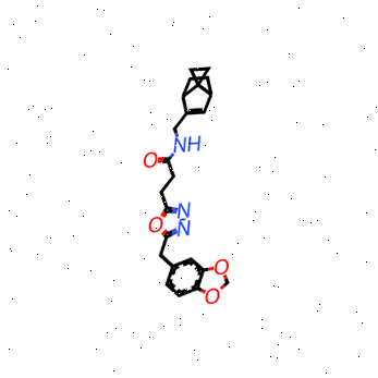 O=C(CCc1nnc(Cc2ccc3c(c2)OCO3)o1)NCC1=CC2CCC1C21CC1